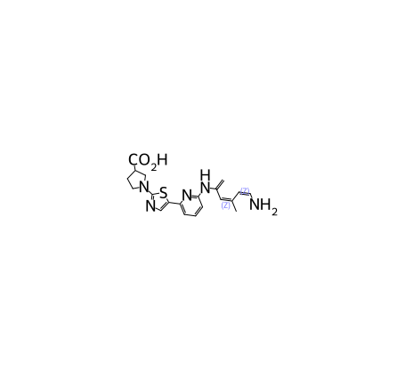 C=C(/C=C(C)\C=C/N)Nc1cccc(-c2cnc(N3CCC(C(=O)O)C3)s2)n1